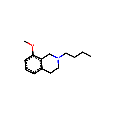 CCCCN1CCc2cccc(OC)c2C1